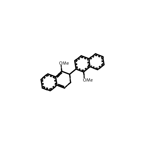 COC1=c2ccccc2=CCC1c1ccc2ccccc2c1OC